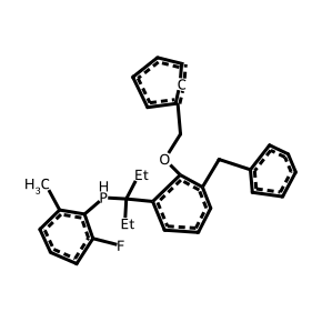 CCC(CC)(Pc1c(C)cccc1F)c1cccc(Cc2ccccc2)c1OCc1ccccc1